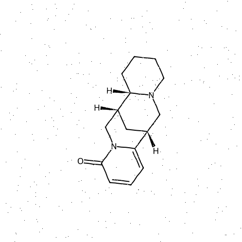 O=c1cccc2n1C[C@H]1C[C@@H]2CN2CCCC[C@@H]12